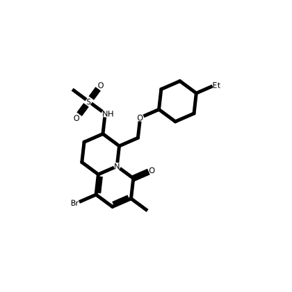 CCC1CCC(OCC2C(NS(C)(=O)=O)CCc3c(Br)cc(C)c(=O)n32)CC1